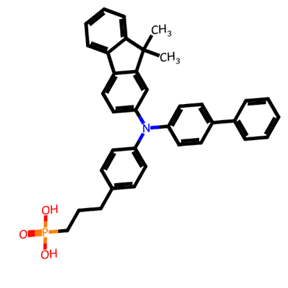 CC1(C)c2ccccc2-c2ccc(N(c3ccc(CCCP(=O)(O)O)cc3)c3ccc(-c4ccccc4)cc3)cc21